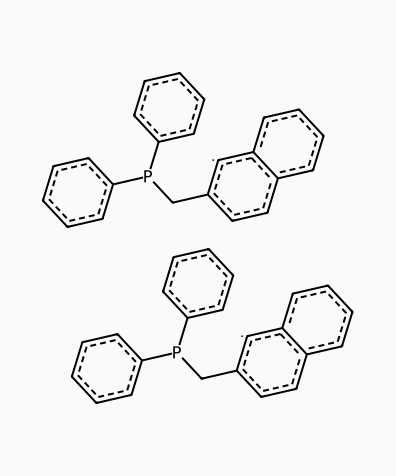 [c]1c(CP(c2ccccc2)c2ccccc2)ccc2ccccc12.[c]1c(CP(c2ccccc2)c2ccccc2)ccc2ccccc12